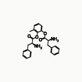 Cc1cccc(OC(=O)[C@@H](N)Cc2ccccc2)c1OC(=O)[C@@H](N)Cc1ccccc1